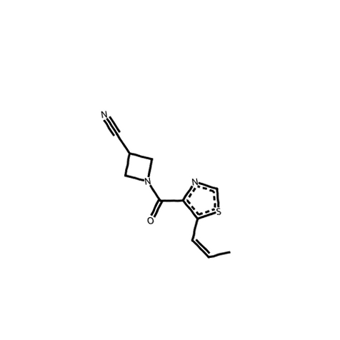 C/C=C\c1scnc1C(=O)N1CC(C#N)C1